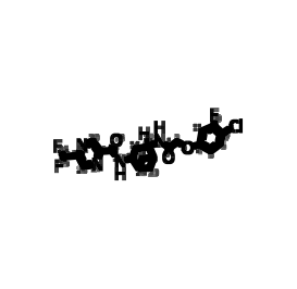 O=C(COc1ccc(Cl)c(F)c1)N[C@H]1CC(NC(=O)c2cnc(C(F)F)cn2)C2CC1C2